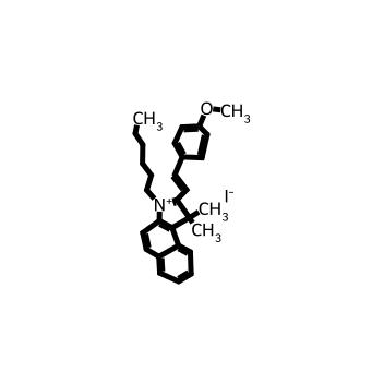 CCCCCC[N+]1=C(C=Cc2ccc(OC)cc2)C(C)(C)c2c1ccc1ccccc21.[I-]